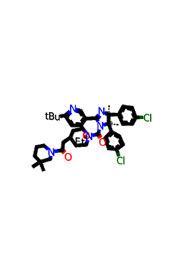 CCOc1cc(C(C)(C)C)ncc1C1=N[C@@](C)(c2ccc(Cl)cc2)[C@@](C)(c2ccc(Cl)cc2)N1C(=O)N1CCC(CC(=O)N2CCCC(C)(C)C2)CC1